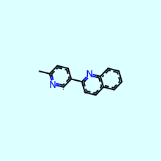 Cc1ccc(-c2ccc3ccccc3n2)[c]n1